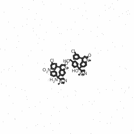 Cn1cncc1C(N)(c1ccc([N+](=O)[O-])cc1)c1ccc2c(c1)c(-c1cccc(Cl)c1)cc(=O)n2C.Cn1cncc1C(O)(c1ccc(CO)cc1)c1ccc2c(c1)c(-c1cccc(Cl)c1)cc(=O)n2C